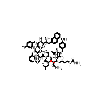 CC(=O)N(C)[C@@H](Cc1ccc(O)cc1)C(=O)N[C@H](CCCCNC(N)=O)C(=O)N[C@@H](CC(C)C)C(=O)N(C(=O)[C@H](CO)NC(=O)[C@H](Cc1cccnc1)NC(=O)[C@H](Cc1ccc(Cl)cc1)NC(=O)[C@@H](N)Cc1ccc2ccccc2c1)[C@H]([C]=O)CCCCN